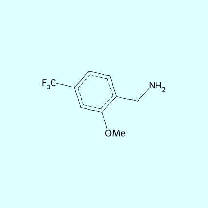 COc1cc(C(F)(F)F)ccc1CN